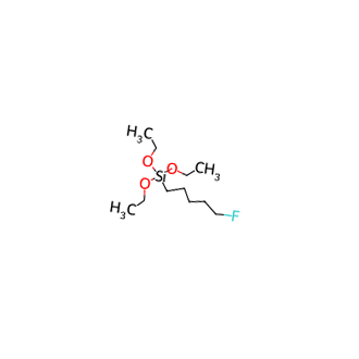 CCO[Si](CCCCCF)(OCC)OCC